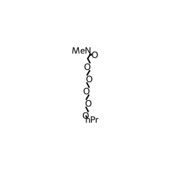 CCCOCCOCCOCCOCCOCCC(=O)NC